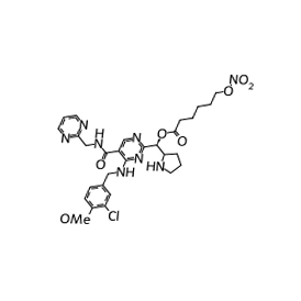 COc1ccc(CNc2nc([C@@H](OC(=O)CCCCCO[N+](=O)[O-])C3CCCN3)ncc2C(=O)NCc2ncccn2)cc1Cl